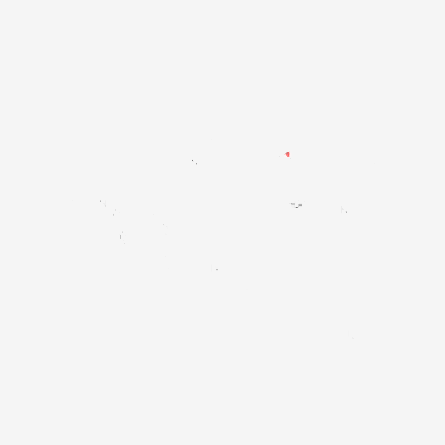 Cc1ccccc1-c1ccc2c(c1C(C)c1c(C(C)(C)C)c(-c3ccccc3F)c(-n3c4ccccc4c4ccc5c(c6ccccc6n5-c5ccccc5)c43)c(-c3ccccc3F)c1C(C)(C)C)c1ccccc1n2-c1ccccc1